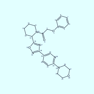 O=C(COc1ccccc1)N1CCCCC1c1nc(-c2ccc(N3CCOCC3)nc2)no1